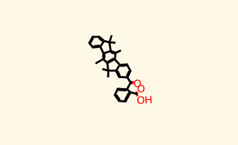 Cc1c2c(c(C)c3c1C(C)(C)c1ccccc1-3)C(C)(C)c1cc(C(=O)c3ccccc3C(=O)O)ccc1-2